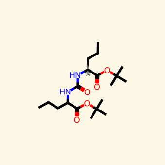 CCCC(NC(=O)N[C@@H](CCC)C(=O)OC(C)(C)C)C(=O)OC(C)(C)C